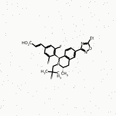 CCc1nc(-c2ccc3c(c2)C[C@H](C)N(CC(C)(C)F)[C@H]3c2c(F)cc(/C=C/C(=O)O)cc2F)no1